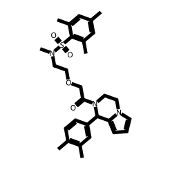 Cc1cc(C)c(S(=O)(=O)N(C)CCOCC(=O)N2CCn3cccc3C2c2ccc(C)c(C)c2)c(C)c1